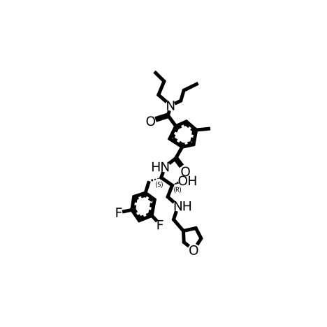 CCCN(CCC)C(=O)c1cc(C)cc(C(=O)N[C@@H](Cc2cc(F)cc(F)c2)[C@H](O)CNCC2CCOC2)c1